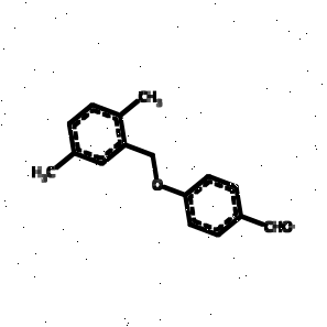 Cc1ccc(C)c(COc2ccc([C]=O)cc2)c1